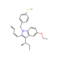 C=C/C=C\c1c([C@H](C)CC)c2cc(OCC)ccc2n1Cc1ccc(SC)cc1